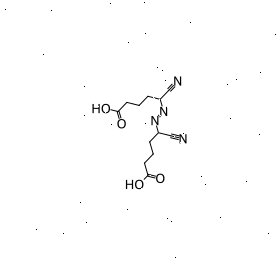 N#CC(CCCC(=O)O)N=NC(C#N)CCCC(=O)O